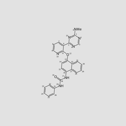 CNc1ncnc(-c2cccnc2Oc2ccc(NC(=O)Nc3ccccc3)c3ccccc23)n1